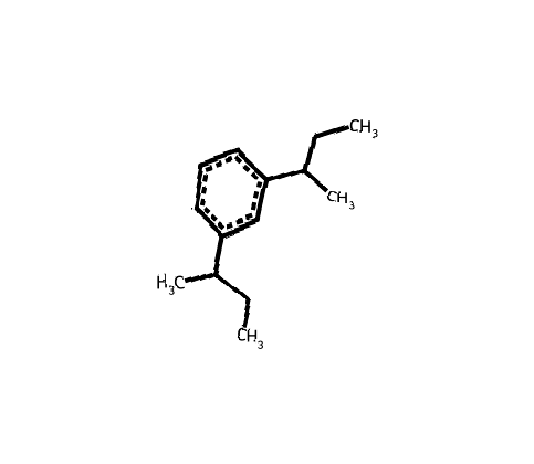 CCC(C)c1[c]ccc(C(C)CC)c1